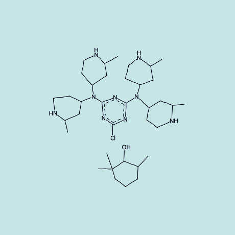 CC1CC(N(c2nc(Cl)nc(N(C3CCNC(C)C3)C3CCNC(C)C3)n2)C2CCNC(C)C2)CCN1.CC1CCCC(C)(C)C1O